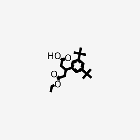 CCOC(=O)CC(CC(=O)O)c1cc(C(C)(C)C)cc(C(C)(C)C)c1